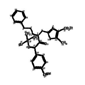 CCOC(=O)c1nc(CN(CCCc2ccccc2)C(=O)C(O[Si](C)(C)C(C)(C)C)c2ccc(OC)cc2)sc1C